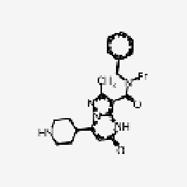 CCN(Cc1ccccc1)C(=O)c1c(C)nn2c(C3CCNCC3)cc(=O)[nH]c12